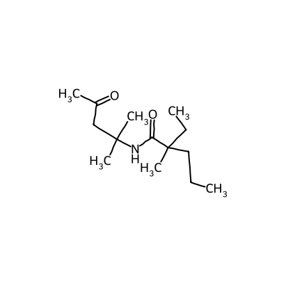 CCCC(C)(CC)C(=O)NC(C)(C)CC(C)=O